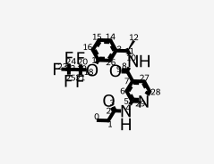 CCC(=O)Nc1cc(C(=O)N[C@H](C)c2cccc(OC(F)(F)C(F)(F)F)c2)ccn1